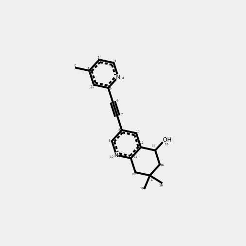 Cc1ccnc(C#Cc2cnc3c(c2)C(O)CC(C)(C)C3)c1